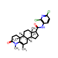 CC1=C2N(C)C(=O)CC[C@]2(C)[C@@H]2CC[C@]3(C)C(C(=O)Nc4ccc(Cl)nc4Cl)CC[C@H]3[C@@H]2C1